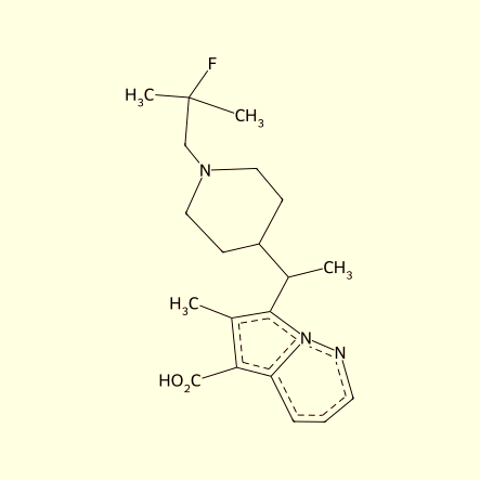 Cc1c(C(=O)O)c2cccnn2c1C(C)C1CCN(CC(C)(C)F)CC1